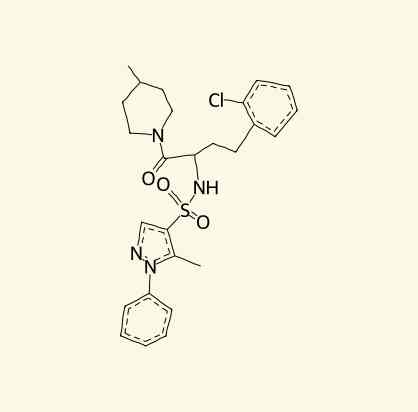 Cc1c(S(=O)(=O)NC(CCc2ccccc2Cl)C(=O)N2CCC(C)CC2)cnn1-c1ccccc1